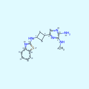 CNc1nc(C2CC(Nc3nc4ccccc4s3)C2)cnc1N